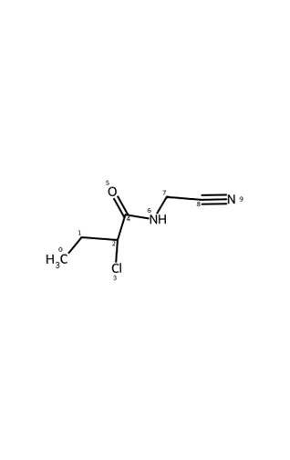 CCC(Cl)C(=O)NCC#N